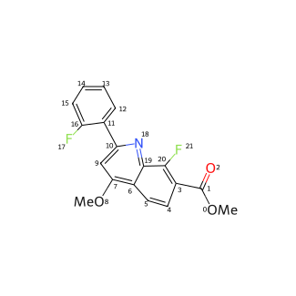 COC(=O)c1ccc2c(OC)cc(-c3ccccc3F)nc2c1F